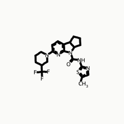 Cc1cnc(NC(=O)N2c3nc(N4CCCC(C(F)(F)F)C4)ccc3C3CCCC32)s1